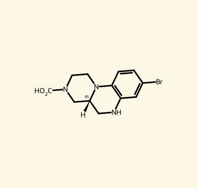 O=C(O)N1CCN2c3ccc(Br)cc3NC[C@@H]2C1